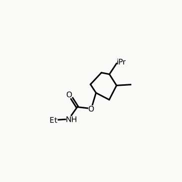 CCNC(=O)OC1CCC(C(C)C)C(C)C1